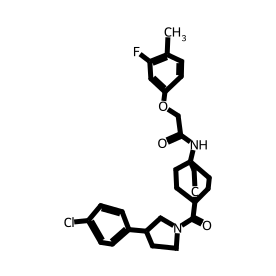 Cc1ccc(OCC(=O)NC23CCC(C(=O)N4CCC(c5ccc(Cl)cc5)C4)(CC2)CC3)cc1F